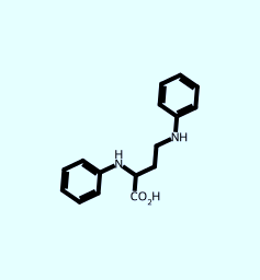 O=C(O)C(CCNc1ccccc1)Nc1ccccc1